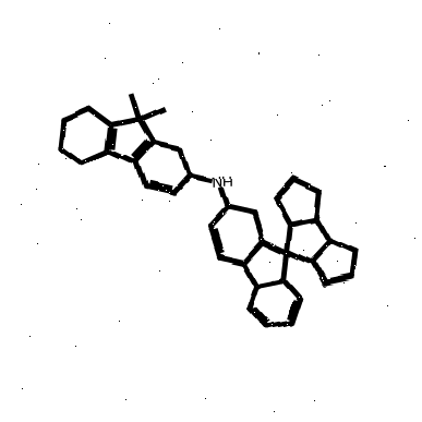 CC1(C)C2=C(C=CC(NC3C=CC4C5C=CC=CC5C5(C4C3)C3CCCC3C3CCCC35)C2)C2=C1CCCC2